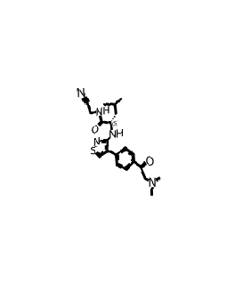 CC(C)C[C@H](Nc1nscc1-c1ccc(C(=O)CN(C)C)cc1)C(=O)NCC#N